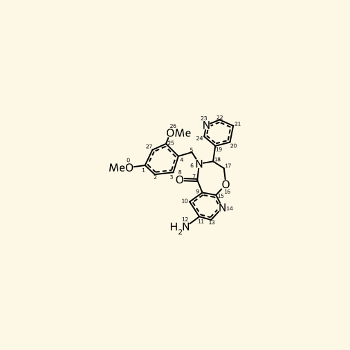 COc1ccc(CN2C(=O)c3cc(N)cnc3OCC2c2cccnc2)c(OC)c1